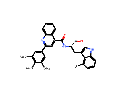 COc1cc(-c2cc(C(=O)N[C@H](CO)Cc3c[nH]c4cccc(C)c34)c3ccccc3n2)cc(OC)c1OC